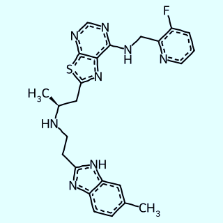 Cc1ccc2nc(CCN[C@@H](C)Cc3nc4c(NCc5ncccc5F)ncnc4s3)[nH]c2c1